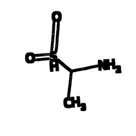 CC(N)[SH](=O)=O